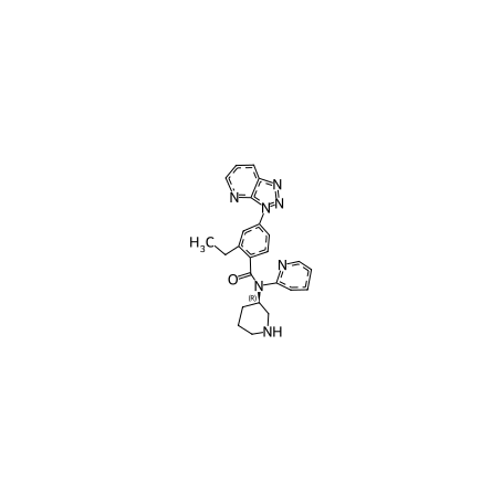 CCc1cc(-n2nnc3cccnc32)ccc1C(=O)N(c1ccccn1)[C@@H]1CCCNC1